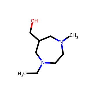 CCN1CCN(C)CC(CO)C1